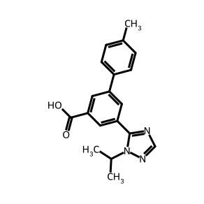 Cc1ccc(-c2cc(C(=O)O)cc(-c3ncnn3C(C)C)c2)cc1